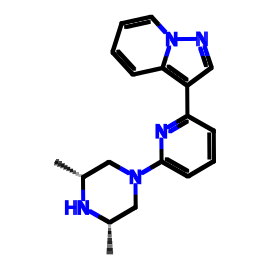 C[C@@H]1CN(c2cccc(-c3cnn4ccccc34)n2)C[C@H](C)N1